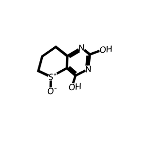 [O-][S+]1CCCc2nc(O)nc(O)c21